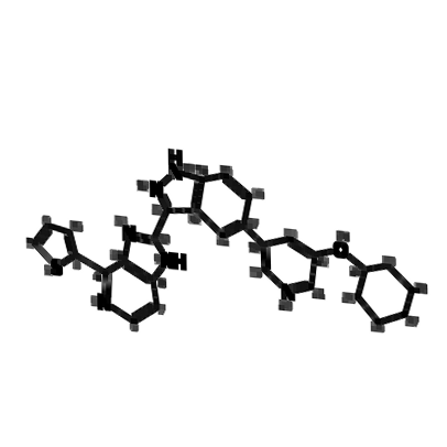 c1csc(-c2nccc3[nH]c(-c4n[nH]c5ccc(-c6cncc(OC7CCCCC7)c6)cc45)nc23)c1